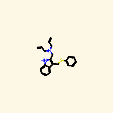 C=CCN(CC=C)Cc1[nH]c2ccccc2c1CSc1ccccc1